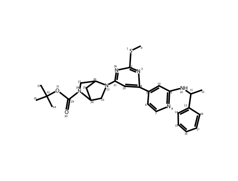 CSc1nc(-c2ccnc(NC(C)c3ccccc3)c2)cc(N2CC3CC2CN3C(=O)OC(C)(C)C)n1